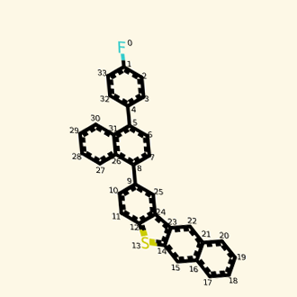 Fc1ccc(-c2ccc(-c3ccc4sc5cc6ccccc6cc5c4c3)c3ccccc23)cc1